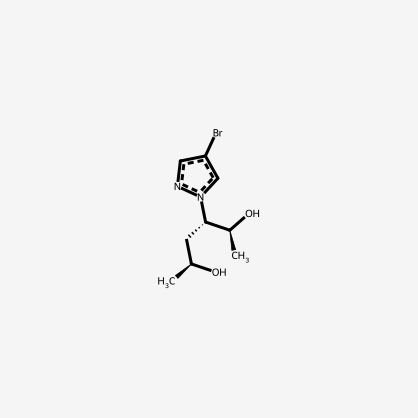 C[C@H](O)C[C@@H]([C@H](C)O)n1cc(Br)cn1